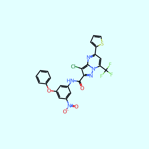 O=C(Nc1cc(Oc2ccccc2)cc([N+](=O)[O-])c1)c1nn2c(C(F)(F)F)cc(-c3cccs3)nc2c1Cl